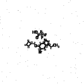 CCn1cnc2cc(OCC3CCC3)c(Br)cc21.O=C(O)C(F)(F)F